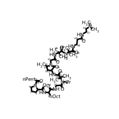 CCCCCCCCC(NC(=O)C1CCCN1C(=O)CCCCC)C(=O)NCC(=O)N(C(C)C)C(C)(C)C(=O)NC1CC(C)N(CC(=O)NC(C)(C)C(=O)NC(C)(C)C(=O)NCCC(=O)NCCN(C)C)C1=O